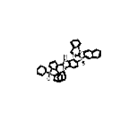 O=P(c1ccccc1)(c1ccccc1)c1cccc2c1-c1ccccc1N1c3ccc(P(=S)(c4ccc5ccccc5c4)c4ncc5ccccc5n4)cc3NC21